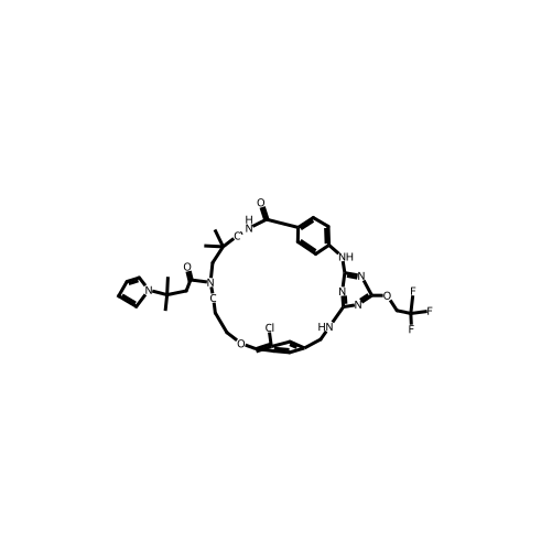 CC1(C)CNC(=O)c2ccc(cc2)Nc2nc(nc(OCC(F)(F)F)n2)NCc2ccc(c(Cl)c2)OCCCN(C(=O)CC(C)(C)n2cccc2)C1